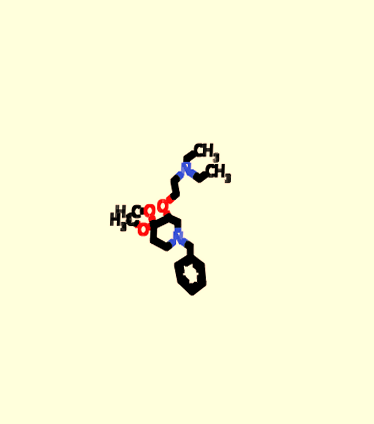 CCN(CC)CCOC1CN(Cc2ccccc2)CCC1(OC)OC